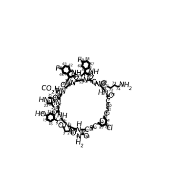 C[C@@]12CCCN1C(=O)[C@H](Cc1ccc(O)cc1)NC(=O)[C@H](Cc1c[nH]cn1)NC(=O)[C@H](CC(=O)O)NC(=O)[C@H](Cc1c[nH]c3ccc(F)cc13)NC(=O)[C@H](Cc1c[nH]c3ccc(F)cc13)NC(=O)CNC(=O)[C@H](CCCCN)NC(=O)CCSCc1cc(Cl)cc(c1)CSC[C@@H](C(N)=O)NC2=O